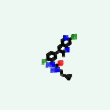 Cc1nc2cc(Cl)ncc2cc1-c1ccc(F)c(NC(=O)NCCC2CC2)c1